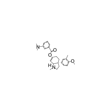 COc1ccc([C@@]23CCC(OC(=O)c4cccc(N(C)C)c4)=C[C@@H]2N(C)CC3)cc1C